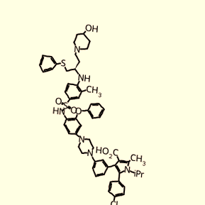 Cc1cc(S(=O)(=O)Nc2ccc(N3CCN(c4cccc(-c5c(C(=O)O)c(C)n(C(C)C)c5-c5ccc(Cl)cc5)c4)CC3)cc2Oc2ccccc2)ccc1N[C@H](CCN1CCC(O)CC1)CSc1ccccc1